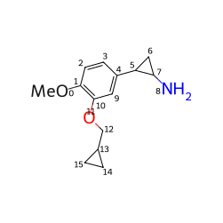 COc1ccc(C2CC2N)cc1OCC1CC1